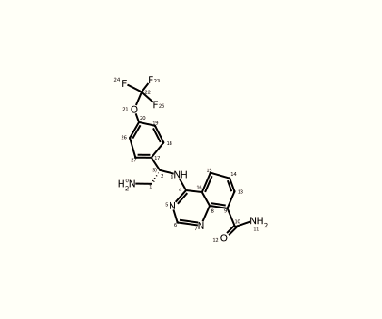 NC[C@@H](Nc1ncnc2c(C(N)=O)cccc12)c1ccc(OC(F)(F)F)cc1